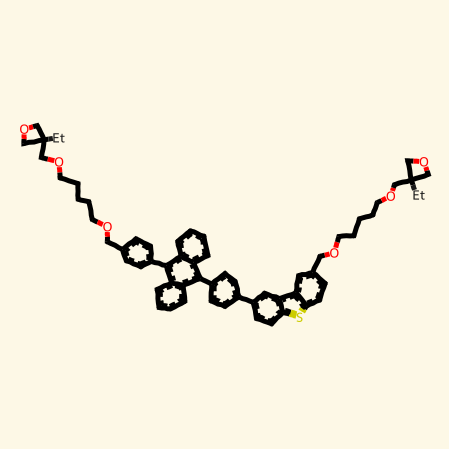 CCC1(COCCCCCOCc2ccc(-c3c4ccccc4c(-c4ccc(-c5ccc6sc7ccc(COCCCCCOCC8(CC)COC8)cc7c6c5)cc4)c4ccccc34)cc2)COC1